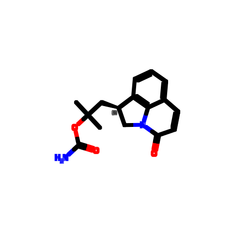 CC(C)(C[C@@H]1Cn2c(=O)ccc3cccc1c32)OC(N)=O